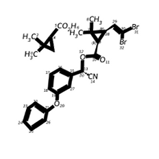 CC1(C)CC1C(=O)O.CC1(C)[C@H](C(=O)O[C@H](C#N)c2cccc(Oc3ccccc3)c2)[C@@H]1C=C(Br)Br